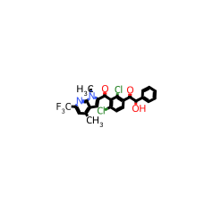 Cc1cc(C(F)(F)F)nc2c1cc(C(=O)c1c(Cl)ccc(C(=O)C(O)c3ccccc3)c1Cl)n2C